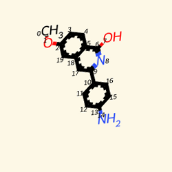 COc1ccc2c(O)nc(-c3ccc(N)cc3)cc2c1